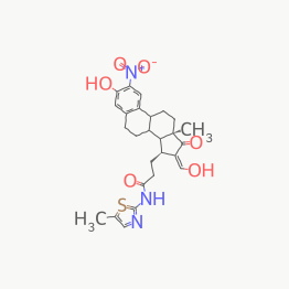 Cc1cnc(NC(=O)CC[C@@H]2C(=CO)C(=O)[C@@]3(C)CCC4c5cc([N+](=O)[O-])c(O)cc5CCC4C23)s1